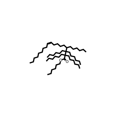 CCCCCCCC/C=C\CCCCC(CCCCCC)C(CCCCCC)(CCCCCC)C(CCCCCC)(CCCCCC)C(=O)OCCCCCC